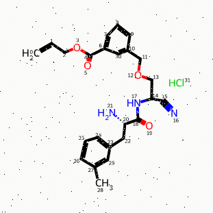 C=CCOC(=O)c1cccc(COCC(C#N)NC(=O)[C@@H](N)Cc2cccc(C)c2)c1.Cl